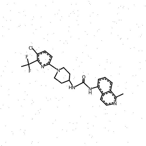 Cc1nccc2c(NC(=O)NC3CCN(c4ccc(Cl)c(C(C)(F)F)n4)CC3)cccc12